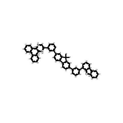 CC1(C)c2cc(-c3cccc(-c4cnc5c6ccccc6c6ccccc6c5n4)c3)ccc2-c2ccc(-c3cccc(-c4cccc5c4oc4ccccc45)c3)cc21